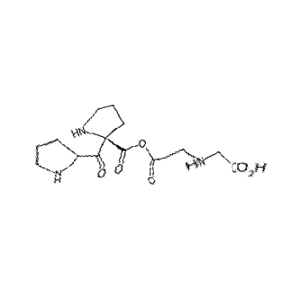 O=C(O)CNCC(=O)OC(=O)[C@]1(C(=O)C2CCCN2)CCCN1